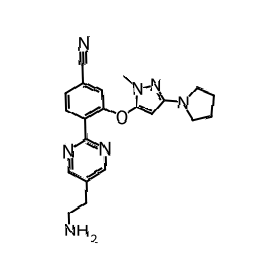 Cn1nc(N2CCCC2)cc1Oc1cc(C#N)ccc1-c1ncc(CCN)cn1